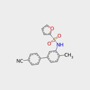 Cc1ccc(-c2ccc(C#N)cc2)cc1NS(=O)(=O)c1ccco1